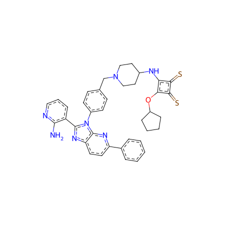 Nc1ncccc1-c1nc2ccc(-c3ccccc3)nc2n1-c1ccc(CN2CCC(Nc3c(OC4CCCC4)c(=S)c3=S)CC2)cc1